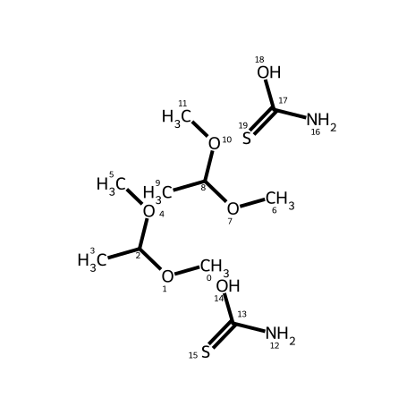 COC(C)OC.COC(C)OC.NC(O)=S.NC(O)=S